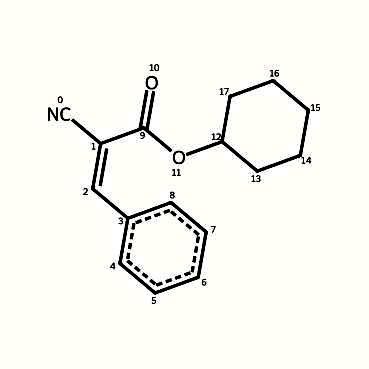 N#CC(=Cc1ccccc1)C(=O)OC1CCCCC1